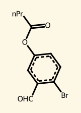 [CH2]CCC(=O)Oc1ccc(Br)c(C=O)c1